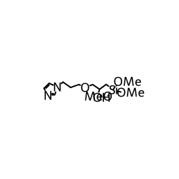 CO[Si](CC(O)COCCCn1ccnc1)(OC)OC